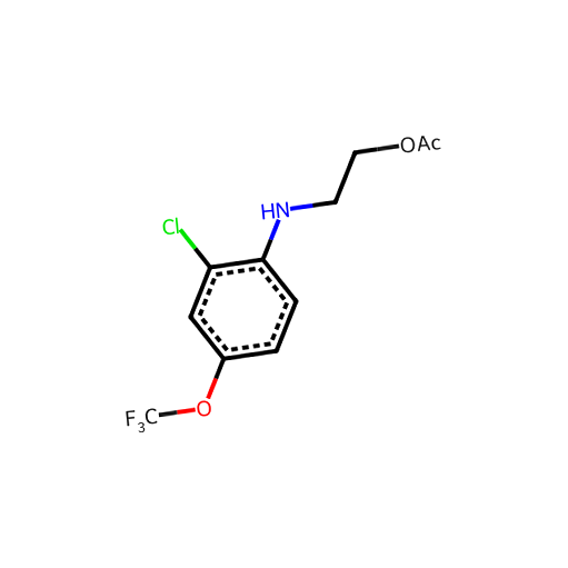 CC(=O)OCCNc1ccc(OC(F)(F)F)cc1Cl